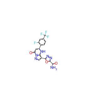 NC(=O)c1nnc(-c2cnn3c(=O)cc(-c4ccc(C(F)(F)F)cc4F)[nH]c23)o1